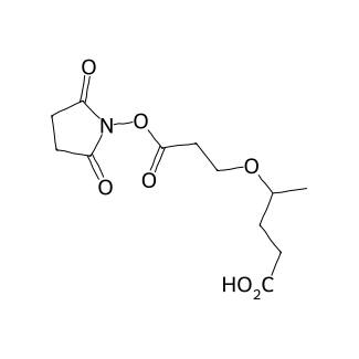 CC(CCC(=O)O)OCCC(=O)ON1C(=O)CCC1=O